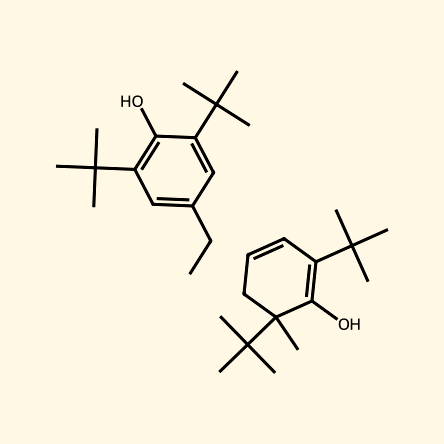 CC(C)(C)C1=C(O)C(C)(C(C)(C)C)CC=C1.CCc1cc(C(C)(C)C)c(O)c(C(C)(C)C)c1